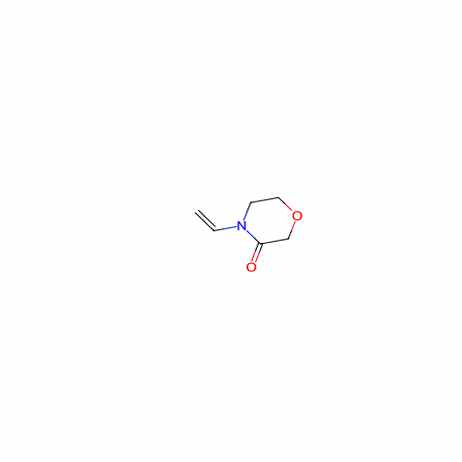 C=CN1CCOCC1=O